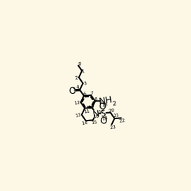 CCCCC(=O)c1cc(N)c2c(c1)CCCN2S(=O)(=O)CC(C)C